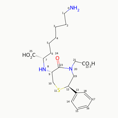 NCCCCCC[C@H](N[C@H]1CS[C@H](c2ccccc2)CN(CC(=O)O)C1=O)C(=O)O